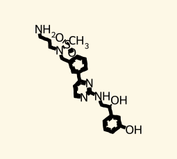 CS(=O)(=O)N(CCCN)Cc1cccc(-c2ccnc(NC[C@H](O)c3cccc(O)c3)n2)c1